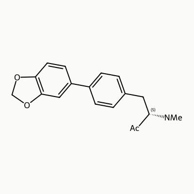 CN[C@@H](Cc1ccc(-c2ccc3c(c2)OCO3)cc1)C(C)=O